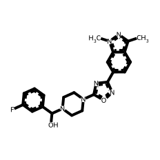 Cc1nn(C)c2cc(-c3noc(N4CCN(C(O)c5cccc(F)c5)CC4)n3)ccc12